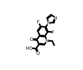 CCn1cc(C(=O)O)c(=O)c2cc(F)c(-n3ccnc3)c(F)c21